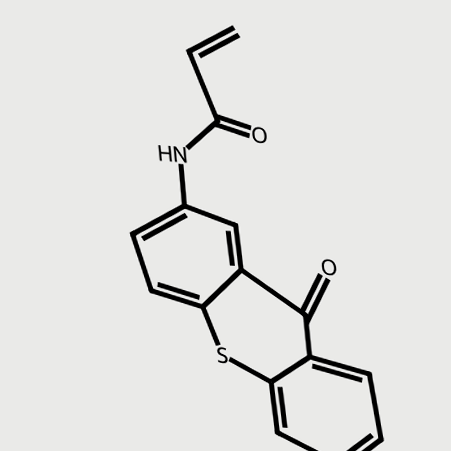 C=CC(=O)Nc1ccc2sc3ccccc3c(=O)c2c1